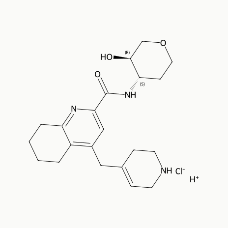 O=C(N[C@H]1CCOC[C@@H]1O)c1cc(CC2=CCNCC2)c2c(n1)CCCC2.[Cl-].[H+]